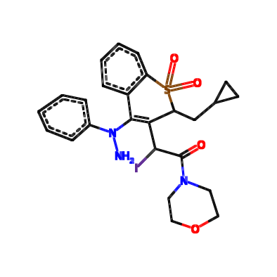 NN(C1=C(C(I)C(=O)N2CCOCC2)C(CC2CC2)S(=O)(=O)c2ccccc21)c1ccccc1